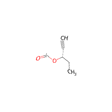 C#CC(CC)O[C]=O